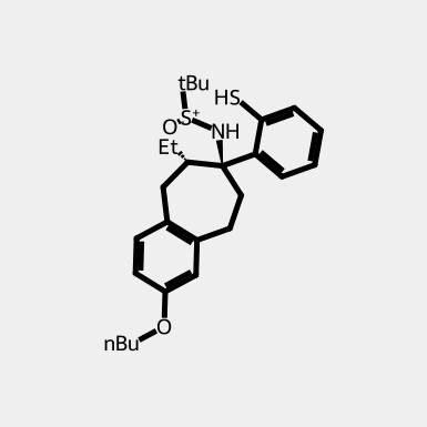 CCCCOc1ccc2c(c1)CC[C@@](N[S+]([O-])C(C)(C)C)(c1ccccc1S)[C@@H](CC)C2